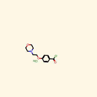 Cl.O=C(Cl)c1ccc(OCCN2CCOCC2)cc1